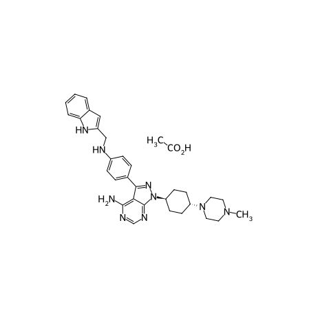 CC(=O)O.CN1CCN([C@H]2CC[C@H](n3nc(-c4ccc(NCc5cc6ccccc6[nH]5)cc4)c4c(N)ncnc43)CC2)CC1